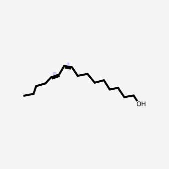 CCCC/C=C/C=C\CCCCCCCCO